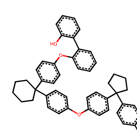 Oc1ccc(C2(c3ccc(Oc4ccc(C5(c6ccc(Oc7ccccc7-c7ccccc7O)cc6)CCCCC5)cc4)cc3)CCCC2)cc1